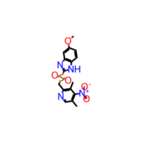 COc1ccc2[nH]c(S(=O)(=O)Cc3ncc(C)c([N+](=O)[O-])c3C)nc2c1